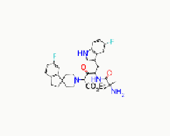 CCOC(=O)C(C(=O)C(Cc1c[nH]c2ccc(F)cc12)NC(=O)C(C)(C)N)N1CCC2(CCc3ccc(F)cc32)CC1